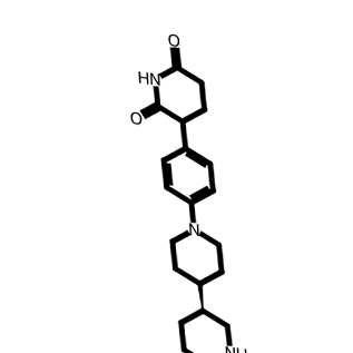 O=C1CCC(c2ccc(N3CCC([C@@H]4CCCNC4)CC3)cc2)C(=O)N1